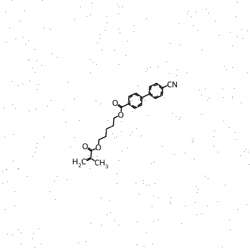 C=C(C)C(=O)OCCCCCOC(=O)c1ccc(-c2ccc(C#N)cc2)cc1